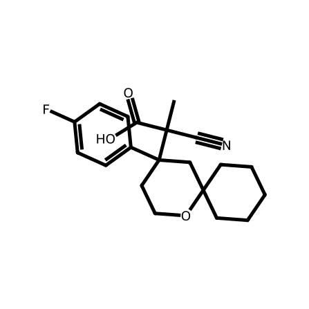 CC(C#N)(C(=O)O)C1(c2ccc(F)cc2)CCOC2(CCCCC2)C1